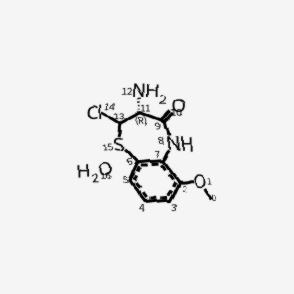 COc1cccc2c1NC(=O)[C@@H](N)C(Cl)S2.O